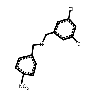 O=[N+]([O-])c1ccc(C[N]Cc2cc(Cl)cc(Cl)c2)cc1